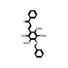 COc1c(O)c(C=CC(=O)c2ccccc2)c(OC)c(OC)c1OCc1ccccc1